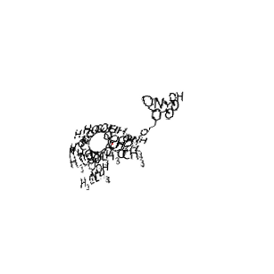 CC[C@H]1OC(=O)[C@H](C)[C@@H](O[C@H]2C[C@@](C)(OC)[C@@H](OC(=O)NCCOCCCc3cc4c5c(c3)c(=O)c(C(=O)O)cn5COC4)[C@H](C)O2)[C@H](C)[C@@H](OC2O[C@H](C)C[C@H](N(C)C)[C@H]2O)[C@](C)(O)C[C@@H](C)/C(=N\OCC#N)[C@H](C)[C@@H](O)[C@]1(C)O